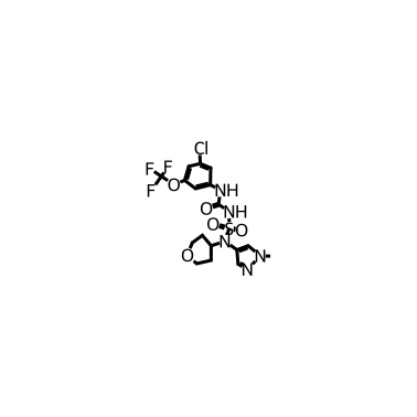 Cn1cc(N(C2CCOCC2)S(=O)(=O)NC(=O)Nc2cc(Cl)cc(OC(F)(F)F)c2)cn1